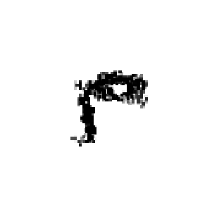 CC[C@@H]1OC(=O)[C@H](C)CC[C@H](O[C@@H]2OC(C)C[C@H](N(C)CCc3cn([C@H](CF)Cc4ccc(-n5ccc(C(C)=O)c5)cc4)nn3)[C@@H]2O)[C@H](O)CCCN(C)[C@H](C)[C@@H](O)[C@]1(C)O